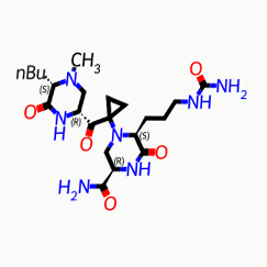 CCCC[C@H]1C(=O)N[C@@H](C(=O)C2(N3C[C@H](C(N)=O)NC(=O)[C@@H]3CCCNC(N)=O)CC2)CN1C